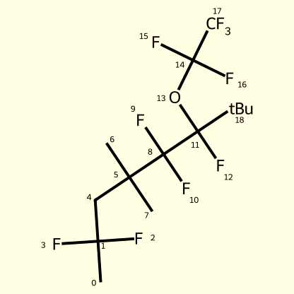 CC(F)(F)CC(C)(C)C(F)(F)C(F)(OC(F)(F)C(F)(F)F)C(C)(C)C